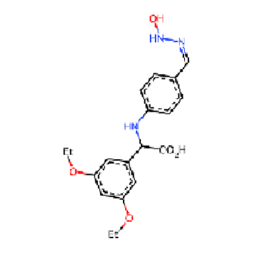 CCOc1cc(OCC)cc(C(Nc2ccc(/C=N\NO)cc2)C(=O)O)c1